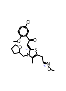 CO/N=C/CC1=C(C)N(CC2CCCO2)/C(=C/C(=O)c2cc(Cl)ccc2OC)S1